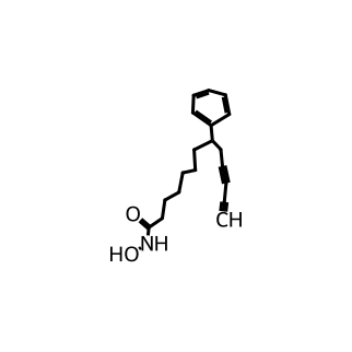 C#CC#CCC(CCCCCCC(=O)NO)c1ccccc1